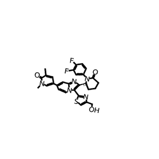 Cc1cc(-c2ccn3c(-c4nc(CO)cs4)c([C@@H]4CCCC(=O)N4c4ccc(F)c(F)c4)nc3c2)cn(C)c1=O